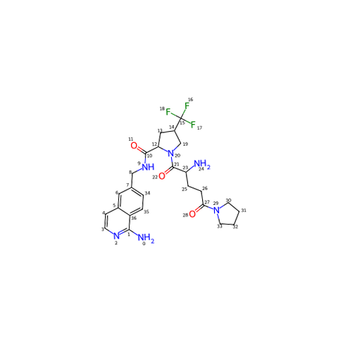 Nc1nccc2cc(CNC(=O)C3CC(C(F)(F)F)CN3C(=O)C(N)CCC(=O)N3CCCC3)ccc12